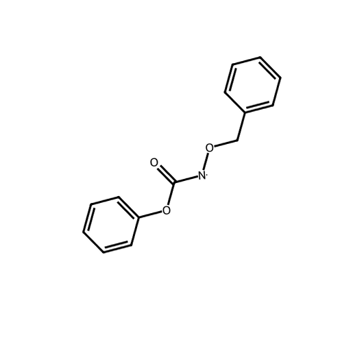 O=C([N]OCc1ccccc1)Oc1ccccc1